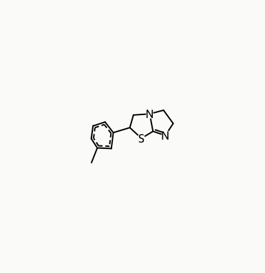 Cc1cccc(C2CN3CCN=C3S2)c1